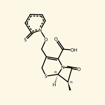 C[C@@H]1C(=O)N2C(C(=O)O)=C(COn3ccccc3=S)CS[C@H]12